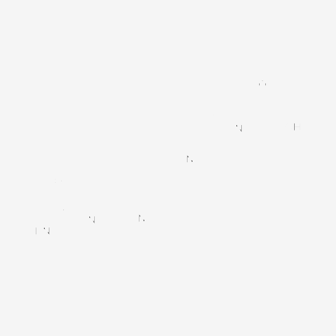 O=C(O)N1CCN(c2ccc(N3CCNC3=O)nc2)CC1